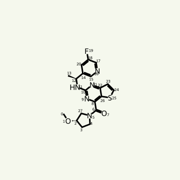 CO[C@H]1CCN(C(=O)c2nc(N[C@@H](C)c3cncc(F)c3)nc3ccsc23)C1